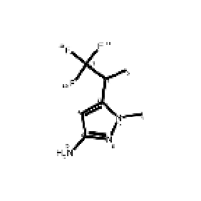 CC(c1cc(N)nn1C)C(F)(F)F